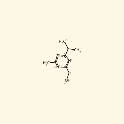 Cc1cc(C(C)C)nc(CO)n1